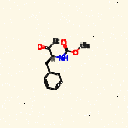 CCC(=O)[C@H](Cc1ccccc1)NC(=O)OC(C)(C)C